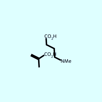 C=C(C)C(=O)O.CNCCCC(=O)O